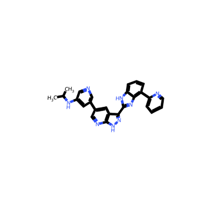 CC(C)Nc1cncc(-c2cnc3[nH]nc(-c4nc5c(-c6ccccn6)cccc5[nH]4)c3c2)c1